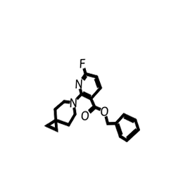 O=C(OCc1ccccc1)c1ccc(F)nc1N1CCC2(CC1)CC2